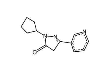 O=C1CC(c2cccnc2)=NN1C1CCCC1